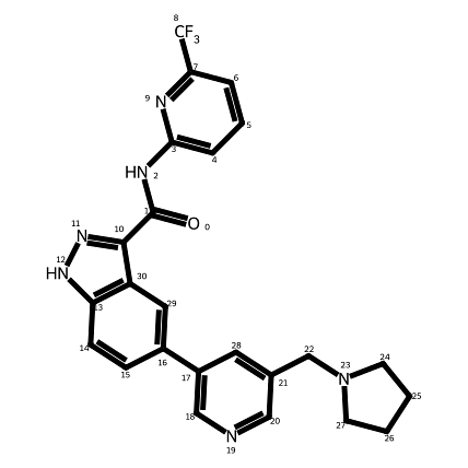 O=C(Nc1cccc(C(F)(F)F)n1)c1n[nH]c2ccc(-c3cncc(CN4CCCC4)c3)cc12